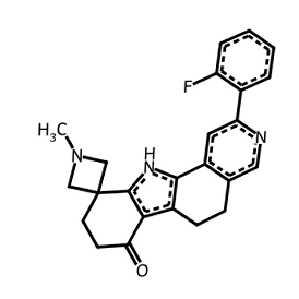 CN1CC2(CCC(=O)c3c2[nH]c2c3CCc3cnc(-c4ccccc4F)cc3-2)C1